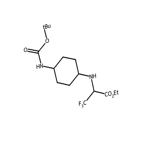 CCOC(=O)C(NC1CCC(NC(=O)OC(C)(C)C)CC1)C(F)(F)F